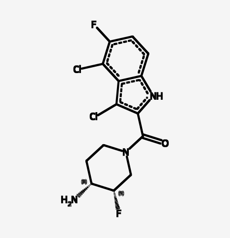 N[C@@H]1CCN(C(=O)c2[nH]c3ccc(F)c(Cl)c3c2Cl)C[C@@H]1F